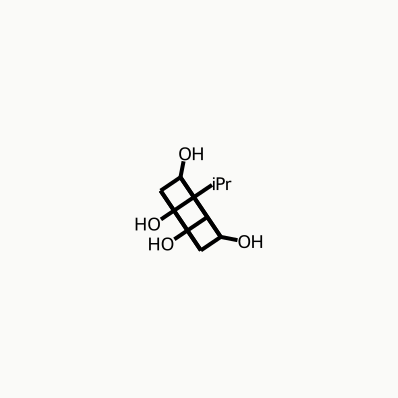 CC(C)C12C3C4(O)C5C(C41O)C2(O)C53O